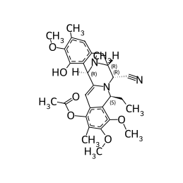 CC[C@H]1c2c(c(OC(C)=O)c(C)c(OC)c2OC)C=C2[C@H]3c4c(cc(C)c(OC)c4O)C[C@H]([C@H](C#N)N21)N3C